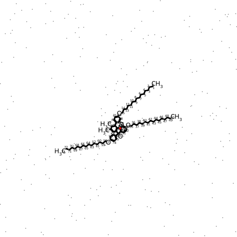 CCCCCCCCCCCCCCCCOc1ccc(-c2c(C)c(C)cc(C([O])(c3ccc(OCCCCCCCCCCCCCCCC)cc3)c3ccc(OCCCCCCCCCCCCCCCC)cc3)c2[N+](=O)[O-])cc1